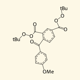 COc1ccc(C(=O)c2ccc(C(=O)OOC(C)(C)C)cc2C(=O)OOC(C)(C)C)cc1